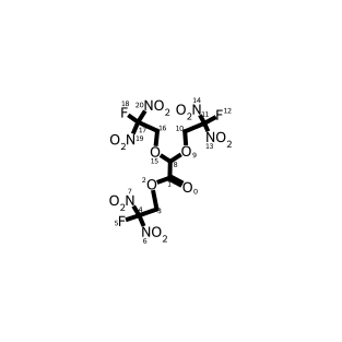 O=C(OCC(F)([N+](=O)[O-])[N+](=O)[O-])C(OCC(F)([N+](=O)[O-])[N+](=O)[O-])OCC(F)([N+](=O)[O-])[N+](=O)[O-]